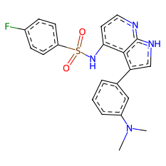 CN(C)c1cccc(-c2c[nH]c3nccc(NS(=O)(=O)c4ccc(F)cc4)c23)c1